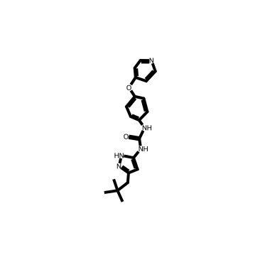 CC(C)(C)Cc1cc(NC(=O)Nc2ccc(Oc3ccncc3)cc2)[nH]n1